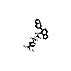 CC(C)(O)c1csc(S(=O)(=O)NC(=O)Nc2c(-c3ccc4ccnn4c3)ccc3c2CCC3)c1